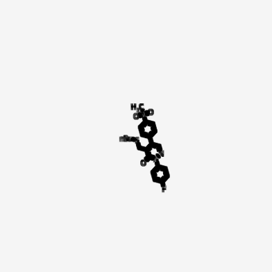 CCCCSCc1c(-c2ccc(S(C)(=O)=O)cc2)cnn(-c2ccc(F)cc2)c1=O